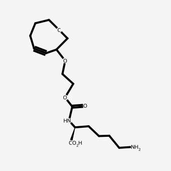 NCCCC[C@H](NC(=O)OCCOC1C#CCCCCC1)C(=O)O